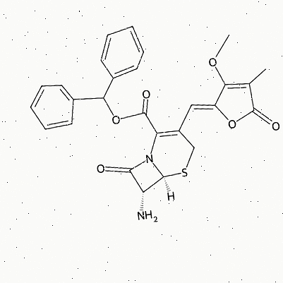 COC1=C(C)C(=O)O/C1=C\C1=C(C(=O)OC(c2ccccc2)c2ccccc2)N2C(=O)[C@@H](N)[C@@H]2SC1